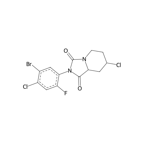 O=C1C2CC(Cl)CCN2C(=O)N1c1cc(Br)c(Cl)cc1F